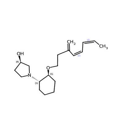 C=C(/C=C\C=C/C)CCO[C@H]1CCCC[C@@H]1N1CC[C@@H](O)C1